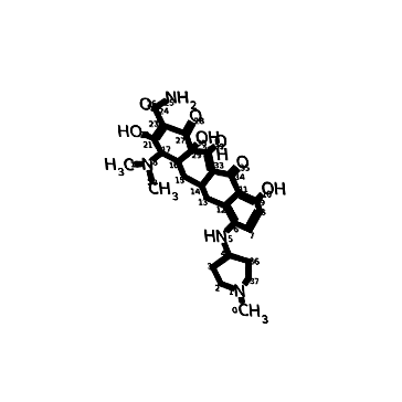 CN1CCC(Nc2ccc(O)c3c2CC2CC4C(N(C)C)C(O)=C(C(N)=O)C(=O)C4(O)C(O)=C2C3=O)CC1